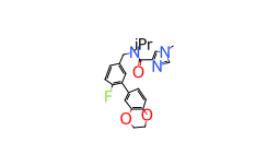 CC(C)N(Cc1ccc(F)c(-c2ccc3c(c2)OCCO3)c1)C(=O)c1cn(C)cn1